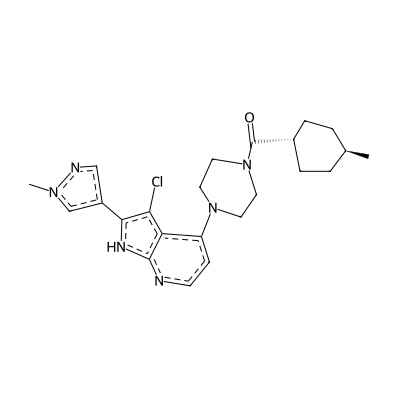 Cn1cc(-c2[nH]c3nccc(N4CCN(C(=O)[C@H]5CC[C@H](C)CC5)CC4)c3c2Cl)cn1